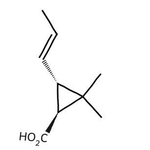 CC=C[C@H]1[C@H](C(=O)O)C1(C)C